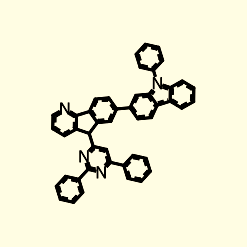 c1ccc(-c2cc(C3c4cc(-c5ccc6c7ccccc7n(-c7ccccc7)c6c5)ccc4-c4ncccc43)nc(-c3ccccc3)n2)cc1